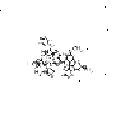 COc1ccc(C(OC[C@H]2O[C@@H](n3cnc4c(N)ncnc43)[C@H](OC(=O)C(Cc3ccccc3)NC(=O)CC(=O)OC(C)(C)C)[C@@H]2O)(c2ccccc2)c2ccc(OC)cc2)cc1